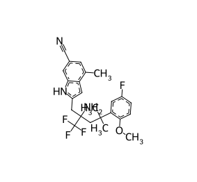 COc1ccc(F)cc1C(C)(C)CC(N)(Cc1cc2c(C)cc(C#N)cc2[nH]1)C(F)(F)F